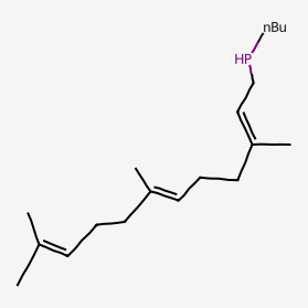 CCCCPCC=C(C)CC/C=C(\C)CCC=C(C)C